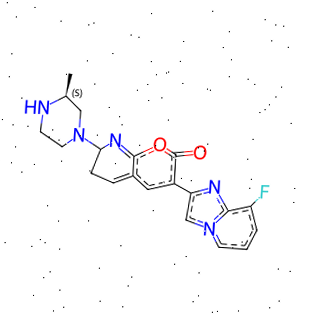 C[C@H]1CN(C2CC=c3cc(-c4cn5cccc(F)c5n4)c(=O)oc3=N2)CCN1